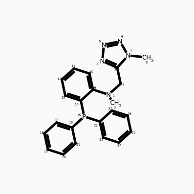 CN(Cc1nnnn1C)c1ccccc1P(c1ccccc1)c1ccccc1